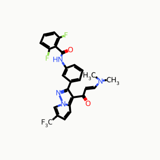 CN(C)/C=C/C(=O)c1c(-c2cccc(NC(=O)c3c(F)cccc3F)c2)nn2cc(C(F)(F)F)ccc12